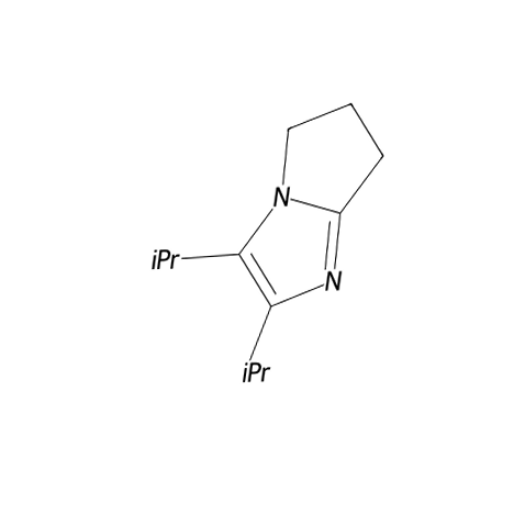 CC(C)c1nc2n(c1C(C)C)CCC2